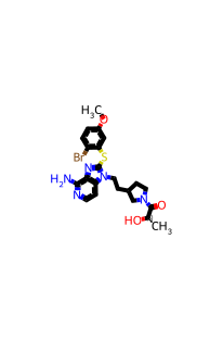 COc1ccc(Br)c(Sc2nc3c(N)nccc3n2CCC2CCN(C(=O)[C@H](C)O)C2)c1